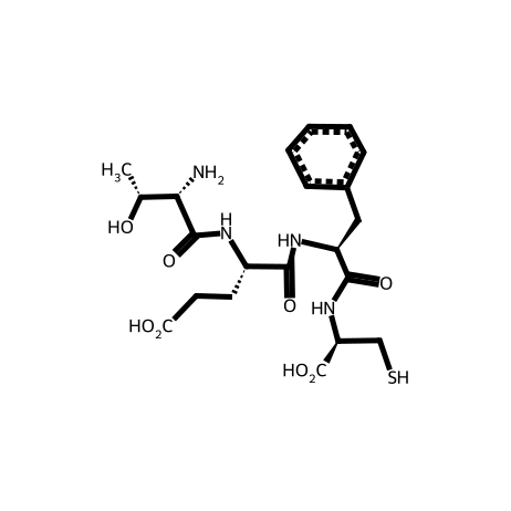 C[C@@H](O)[C@H](N)C(=O)N[C@@H](CCC(=O)O)C(=O)N[C@@H](Cc1ccccc1)C(=O)N[C@@H](CS)C(=O)O